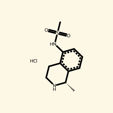 C[C@@H]1NCCc2c(NS(C)(=O)=O)cccc21.Cl